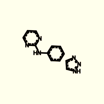 c1c[nH]nn1.c1ccc(Nc2ncccn2)cc1